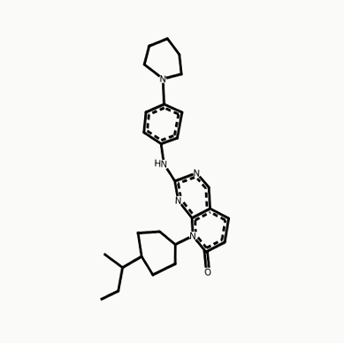 CCC(C)C1CCC(n2c(=O)ccc3cnc(Nc4ccc(N5CCCCC5)cc4)nc32)CC1